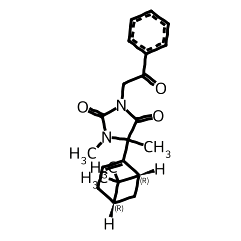 CN1C(=O)N(CC(=O)c2ccccc2)C(=O)C1(C)C1=CC[C@H]2C[C@@H]1C2(C)C